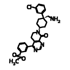 CS(=O)(=O)c1cccc(-c2ncnc3c2CCN([C@H]2CC[C@](CN)(c4cccc(Cl)c4)CC2)C3=O)c1